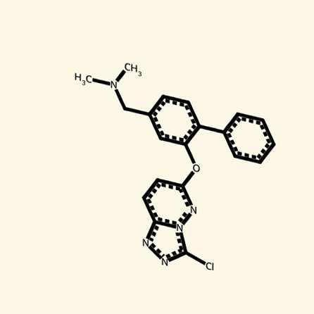 CN(C)Cc1ccc(-c2ccccc2)c(Oc2ccc3nnc(Cl)n3n2)c1